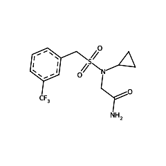 NC(=O)CN(C1CC1)S(=O)(=O)Cc1cccc(C(F)(F)F)c1